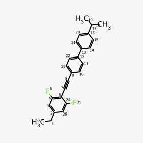 CCc1cc(F)c(C#Cc2ccc(-c3ccc(C(C)C)cc3)cc2)c(F)c1